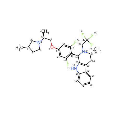 C[C@@H]1CCN([C@@H](C)COc2cc(F)c([C@@H]3c4[nH]c5ccccc5c4C[C@@H](C)N3CC(F)(F)F)c(F)c2)C1